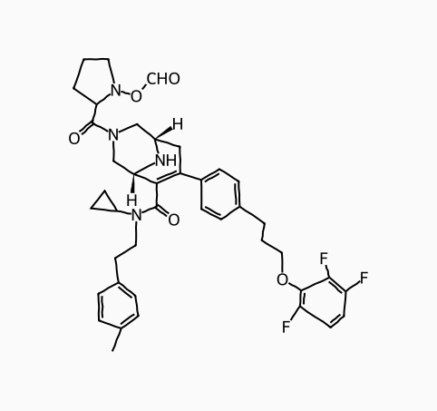 Cc1ccc(CCN(C(=O)C2=C(c3ccc(CCCOc4c(F)ccc(F)c4F)cc3)C[C@H]3CN(C(=O)C4CCCN4OC=O)C[C@@H]2N3)C2CC2)cc1